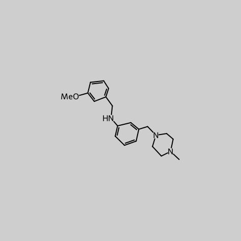 COc1cccc(CNc2cccc(CN3CCN(C)CC3)c2)c1